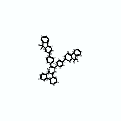 CC1(C)c2ccccc2-c2ccc(-c3ccc(-c4nc5c6ccccc6c6ccccc6c5nc4-c4ccc(-c5ccc6c(c5)C(C)(C)c5ccccc5-6)cc4)cc3)cc21